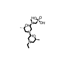 CCN(CCN(CCN(C)CP(=O)(O)O)C[C@H](C)O)C[C@H](C)O